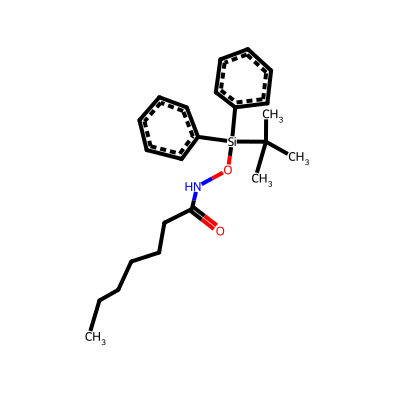 CCCCCCC(=O)NO[Si](c1ccccc1)(c1ccccc1)C(C)(C)C